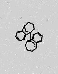 c1ccc2c(c1)[C]1CCCC2CCC1C12CCCC(C1)c1ccccc12